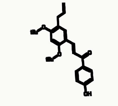 C=CCc1cc(/C=C/C(=O)c2ccc(O)cc2)c(OC(C)(C)C)cc1OC(C)(C)C